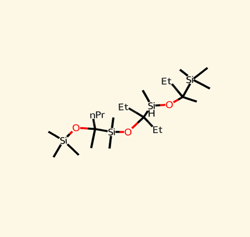 CCCC(C)(O[Si](C)(C)C)[Si](C)(C)OC(CC)(CC)[SiH](C)OC(C)(CC)[Si](C)(C)C